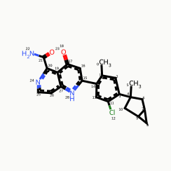 Cc1cc(C2(C)CC3CC3C2)c(Cl)cc1-c1cc(=O)c2c(C(N)=O)nccc2[nH]1